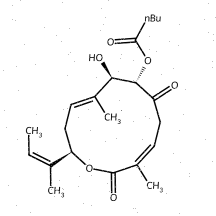 C/C=C(/C)[C@H]1C/C=C(\C)[C@@H](O)[C@H](OC(=O)CCCC)C(=O)C/C=C(/C)C(=O)O1